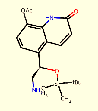 CC(=O)Oc1ccc([C@H](CN)O[Si](C)(C)C(C)(C)C)c2ccc(=O)[nH]c12